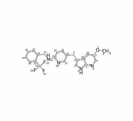 COc1cnc2[nH]cc(Cc3ccc(NCc4ccccc4C(F)(F)F)nc3)c2c1